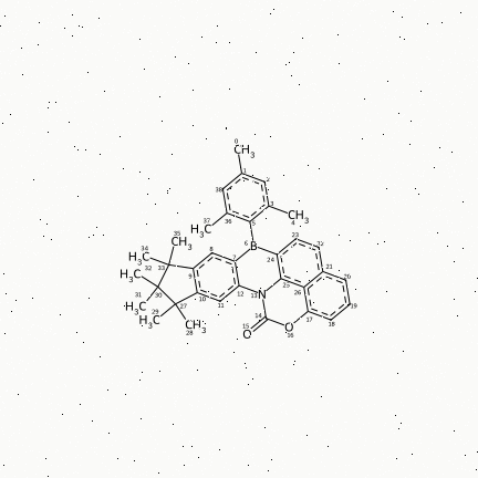 Cc1cc(C)c(B2c3cc4c(cc3N3C(=O)Oc5cccc6ccc2c3c56)C(C)(C)C(C)(C)C4(C)C)c(C)c1